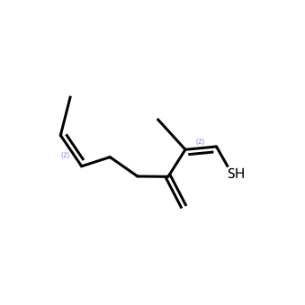 C=C(CC/C=C\C)/C(C)=C\S